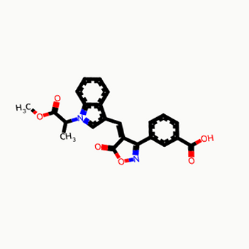 COC(=O)C(C)n1cc(C=C2C(=O)ON=C2c2cccc(C(=O)O)c2)c2ccccc21